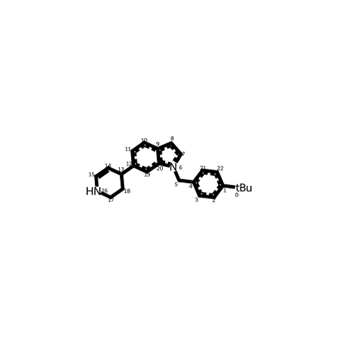 CC(C)(C)c1ccc(Cn2ccc3ccc(C4C=CNCC4)cc32)cc1